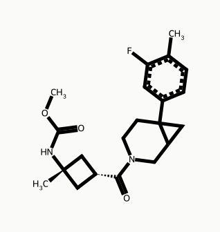 COC(=O)N[C@]1(C)C[C@H](C(=O)N2CCC3(c4ccc(C)c(F)c4)CC3C2)C1